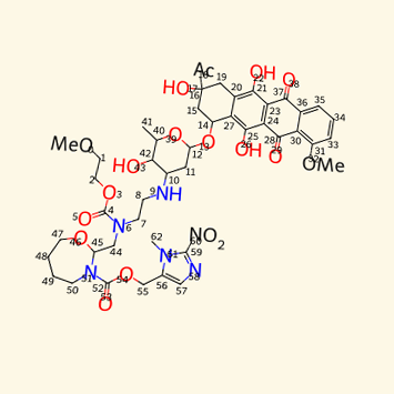 COCCOC(=O)N(CCNC1CC(OC2CC(O)(C(C)=O)Cc3c(O)c4c(c(O)c32)C(=O)c2c(OC)cccc2C4=O)OC(C)C1O)CC1OCCCCN1C(=O)OCc1cnc([N+](=O)[O-])n1C